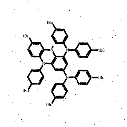 CB1c2cc(C(C)(C)C)ccc2N(C2=CCC(C(C)(C)C)C=C2)c2cc(N(c3ccc(C(C)(C)C)cc3)c3ccc(C(C)(C)C)cc3)cc(N(c3ccc(C(C)(C)C)cc3)c3ccc(C(C)(C)C)cc3)c21